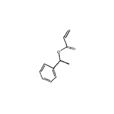 C=CC(=O)OC(C)c1c[c]ccc1